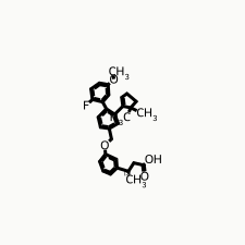 COc1ccc(F)c(-c2ccc(COc3cccc([C@@H](C)CC(=O)O)c3)cc2C2=CCCC2(C)C)c1